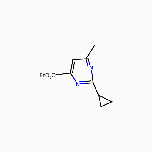 CCOC(=O)c1cc(C)nc(C2CC2)n1